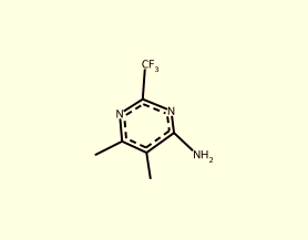 Cc1nc(C(F)(F)F)nc(N)c1C